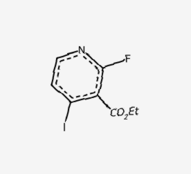 CCOC(=O)c1c(I)ccnc1F